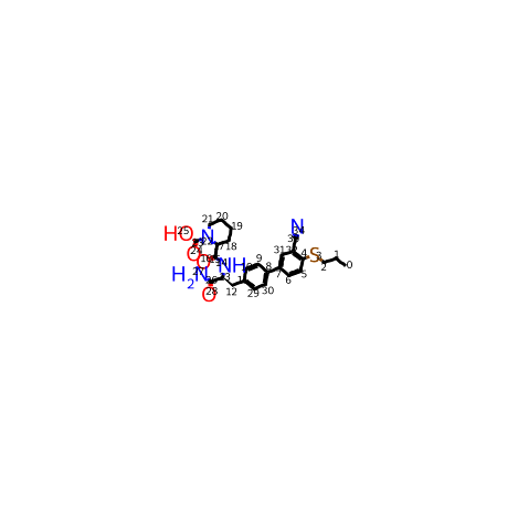 CCCSc1ccc(-c2ccc(C[C@H](NC(=O)C3CCCCN3C(=O)O)C(N)=O)cc2)cc1C#N